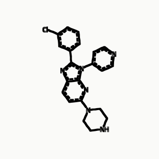 Clc1cccc(-c2nc3ccc(N4CCNCC4)nc3n2-c2ccncc2)c1